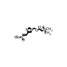 CC(C)(C)[S+]([O-])/N=C/c1cn(COCC[Si](C)(C)C)cn1